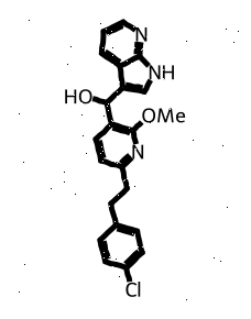 COc1nc(CCc2ccc(Cl)cc2)ccc1C(O)c1c[nH]c2ncccc12